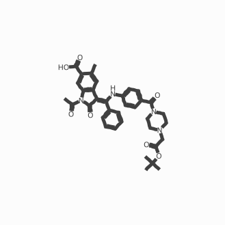 CC(=O)N1C(=O)/C(=C(/Nc2ccc(C(=O)N3CCN(CC(=O)OC(C)(C)C)CC3)cc2)c2ccccc2)c2cc(C)c(C(=O)O)cc21